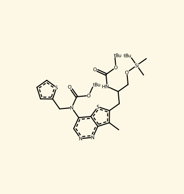 Cc1c(CC(CO[Si](C)(C)C(C)(C)C)NC(=O)OC(C)(C)C)sc2c(N(Cc3cccs3)C(=O)OC(C)(C)C)cnnc12